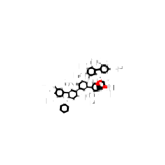 CC1=C(O)C2C(C(O)=C1C1=C(O)C3c4c(O)c(O)c(O)c(O)c4N(c4c(O)c(O)c(C)c5c6c(C)c(C)c(O)c(O)c6n(-c6cccc(C)c6)c45)C3C(C)=C1O)c1c(O)c(C)c(C)c(O)c1N2c1ccccc1